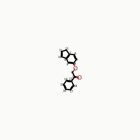 O=C(COc1ccc2c(c1)C=CC2)c1ccccc1